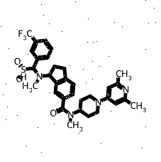 Cc1cc(N2CCC(N(C)C(=O)c3ccc4c(c3)C(N(C)C(c3cccc(C(F)(F)F)c3)[SH](=O)=O)CC4)CC2)cc(C)n1